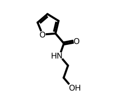 O=C(NCCO)c1ccco1